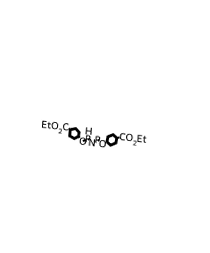 CCOC(=O)c1ccc(OP=NPOc2ccc(C(=O)OCC)cc2)cc1